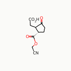 N#CCOC(=O)[C@H]1CCC(=O)C1CC(=O)O